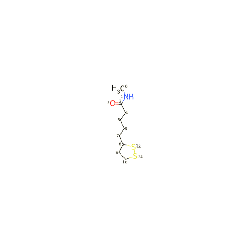 CNC(=O)CCCCC1CCSS1